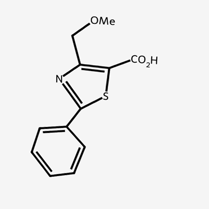 COCc1nc(-c2ccccc2)sc1C(=O)O